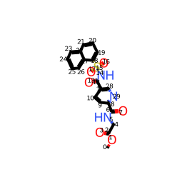 COC(=O)CNC(=O)c1ccc(C(=O)NS(=O)(=O)c2cccc3ccccc23)cn1